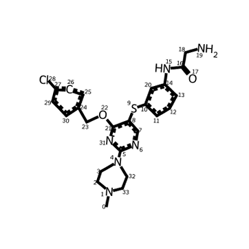 CN1CCN(c2ncc(Sc3cccc(NC(=O)CN)c3)c(OCc3ccc(Cl)cc3)n2)CC1